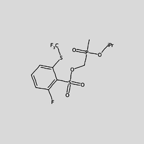 CC(C)OP(C)(=O)COS(=O)(=O)c1c(F)cccc1SC(F)(F)F